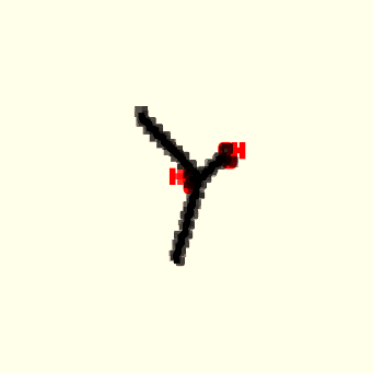 CCCCCCCCCCCCCCCCCC(CCCCCCCCCCCCCCCCC)(CCCCCCC(=O)O)C(=O)O